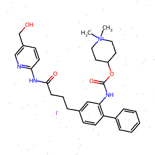 C[N+]1(C)CCC(OC(=O)Nc2cc(CCCC(=O)Nc3ccc(CO)cn3)ccc2-c2ccccc2)CC1.[I-]